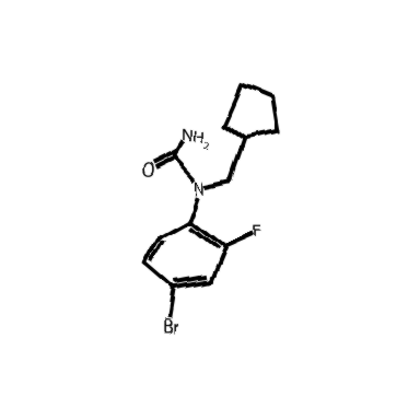 NC(=O)N(CC1CCCC1)c1ccc(Br)cc1F